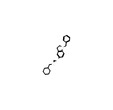 O=C(NCC1CCCCC1)Oc1ccc2c(c1)CCN2Cc1ccccc1